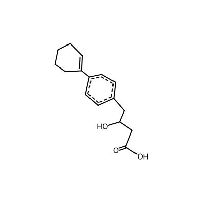 O=C(O)CC(O)Cc1ccc(C2=CCCCC2)cc1